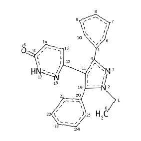 CCn1nc(-c2ccccc2)c(-c2ccc(=O)[nH]n2)c1-c1ccccc1